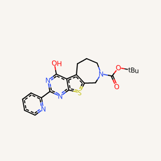 CC(C)(C)OC(=O)N1CCCc2c(sc3nc(-c4ccccn4)nc(O)c23)C1